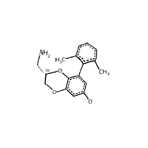 Cc1cccc(C)c1-c1cc(Cl)cc2c1O[C@@H](CN)CO2